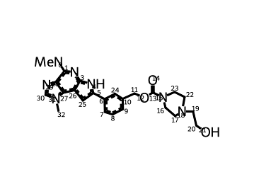 CNc1nc2[nH]c(-c3cccc(COC(=O)N4CCN(CCO)CC4)c3)cc2c2c1ncn2C